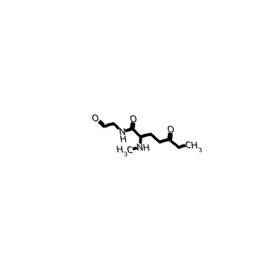 CCC(=O)CCC(NC)C(=O)NCC=O